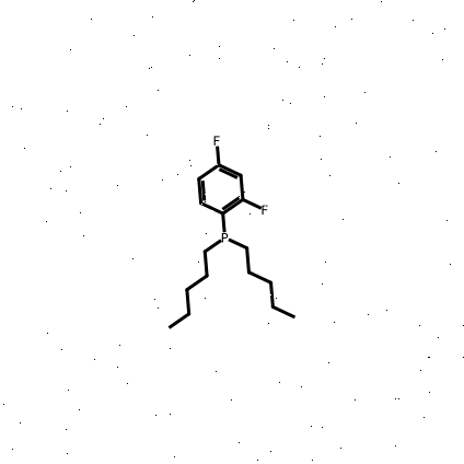 CCCCCP(CCCCC)c1ccc(F)cc1F